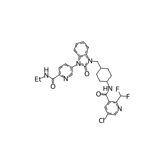 CCNC(=O)c1ccc(-n2c(=O)n(CC3CCC(NC(=O)c4cc(Cl)cnc4C(F)F)CC3)c3ccccc32)cn1